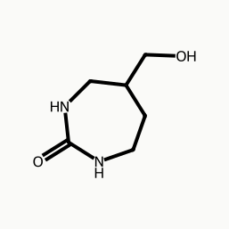 O=C1NCCC(CO)CN1